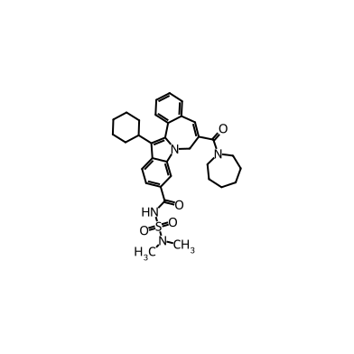 CN(C)S(=O)(=O)NC(=O)c1ccc2c(C3CCCCC3)c3n(c2c1)CC(C(=O)N1CCCCCC1)=Cc1ccccc1-3